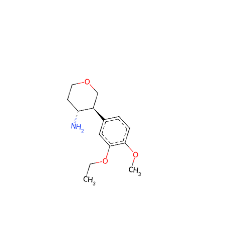 CCOc1cc([C@@H]2COCC[C@H]2N)ccc1OC